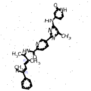 C=N/C(=C\C=C(/C)C(C)NC(=O)c1ccc(-c2nc(C)cc(Nc3cc[nH]c(=O)c3)n2)cn1)c1ccccc1